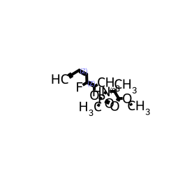 C#C/C=C\C(F)=C(/C)OP(C)(=O)N[C@@H](C)C(=O)OC